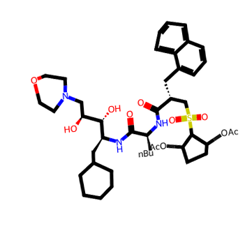 CCCC[C@H](NC(=O)[C@H](Cc1cccc2ccccc12)CS(=O)(=O)C1C(OC(C)=O)CCC1OC(C)=O)C(=O)N[C@@H](CC1CCCCC1)[C@@H](O)[C@@H](O)CN1CCOCC1